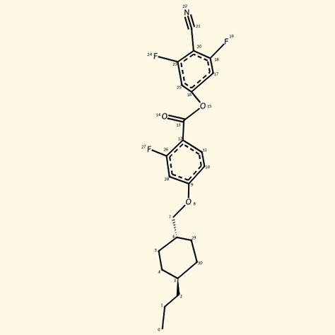 CCC[C@H]1CC[C@H](COc2ccc(C(=O)Oc3cc(F)c(C#N)c(F)c3)c(F)c2)CC1